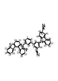 N#Cc1cc(-c2cccc(-n3c4ccc5sc6ccccc6c5c4c4cccnc43)c2)cc(-n2c3ccccc3c3cc(C#N)ccc32)c1